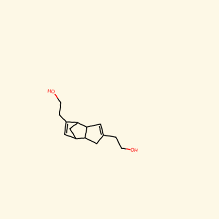 OCCC1=CC2C3CC(C=C3CCO)C2C1